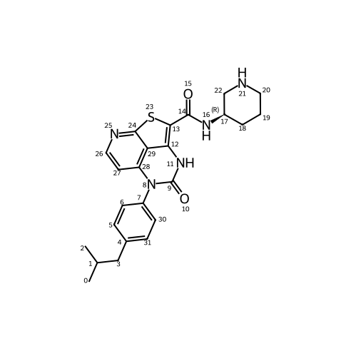 CC(C)Cc1ccc(N2C(=O)Nc3c(C(=O)N[C@@H]4CCCNC4)sc4nccc2c34)cc1